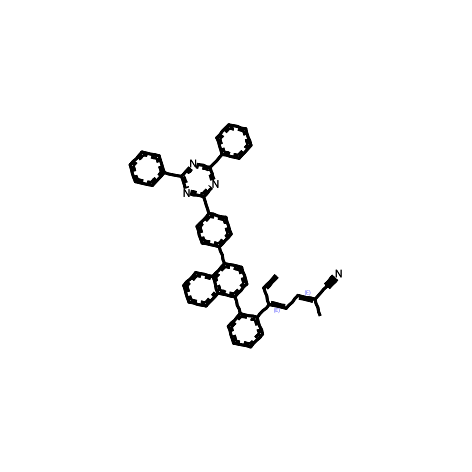 C=C/C(=C\C=C(/C)C#N)c1ccccc1-c1ccc(-c2ccc(-c3nc(-c4ccccc4)nc(-c4ccccc4)n3)cc2)c2ccccc12